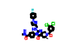 CNC(=O)c1ccc(-n2c(NCc3ccn(-c4ccc(F)cc4)n3)nc3c(c2=O)C[C@@H](C)N(C(=O)c2ccc(Cl)c(Cl)c2)C3)cc1